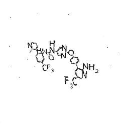 Cc1ncccc1-c1ccc(C(F)(F)F)cc1NC(=O)Nc1cnc(Oc2ccc(-c3cc(C(F)(F)F)cnc3N)cc2)nc1